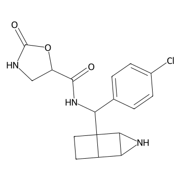 O=C1NCC(C(=O)NC(c2ccc(Cl)cc2)C23CCC2C2NC23)O1